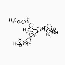 CCOC1=CC=C(NC2C=CC(C(C3=C(C)C=C(N(CC)CC4=CC(S(=O)(=O)O)=CCC4)CC3)C3CCC(N(CC)CC4C=CC=C(S(=O)(=O)O)C4)=CC3C)CC2)CC1